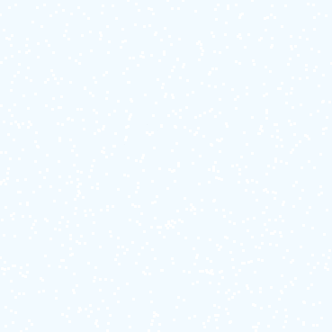 Cc1ccc(C)c2cc3c(cc12)C=CC3